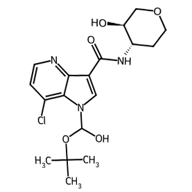 CC(C)(C)OC(O)n1cc(C(=O)N[C@H]2CCOC[C@@H]2O)c2nccc(Cl)c21